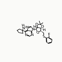 CC1(C)O[C@@H]2[C@@H](O1)[C@@H](CSc1ccccc1F)O[C@H]2n1cnc2c(C3(N)CCCC3)ncnc21